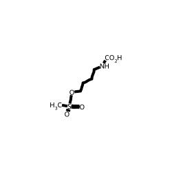 CS(=O)(=O)OCCCCNC(=O)O